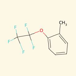 Cc1ccccc1OC(F)(F)C(F)(F)F